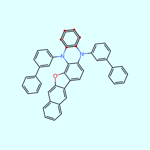 c1ccc(-c2cccc(N(c3ccccc3)c3ccc4c(oc5cc6ccccc6cc54)c3N(c3ccccc3)c3cccc(-c4ccccc4)c3)c2)cc1